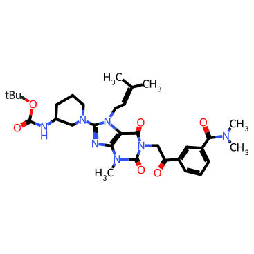 CC(C)=CCn1c(N2CCCC(NC(=O)OC(C)(C)C)C2)nc2c1c(=O)n(CC(=O)c1cccc(C(=O)N(C)C)c1)c(=O)n2C